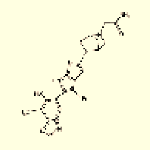 Cc1c(-c2[nH]c3sc(C4CC5CC4CN5CC(N)=O)cc3c2C(C)C)cn2ncnc2c1C